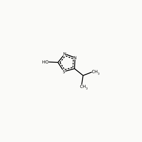 CC(C)c1nnc(O)s1